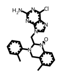 Cc1ccccc1N1Cc2c(C)cccc2[N+](=O)C1Cn1cnc2c(Cl)nc(N)nc21